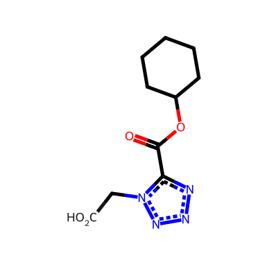 O=C(O)Cn1nnnc1C(=O)OC1CCCCC1